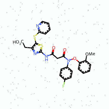 COc1ccccc1ON(C(=O)CC(=O)Nc1nc(CC(=O)O)c(Sc2ccccn2)s1)c1ccc(F)cc1